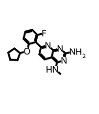 CNc1nc(N)nc2nc(-c3c(F)cccc3OC3CCCC3)ccc12